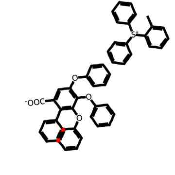 Cc1ccccc1[S+](c1ccccc1)c1ccccc1.O=C([O-])c1cc(Oc2ccccc2)c(Oc2ccccc2)c(Oc2ccccc2)c1-c1ccccc1